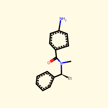 CC[C@@H](c1ccccc1)N(C)C(=O)c1ccc(N)cc1